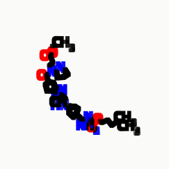 CCOC(=O)CCN(C(=O)c1ccc2c(c1)nc(CNc1ccc(C(N)=NC(=O)OCCCC(C)C)cc1)n2C)c1ccccn1